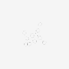 c1ccc(-c2ccc(N(c3ccc(-c4ccccc4)cc3)c3ccc4c(c3)C(c3ccccc3)(c3ccccc3)c3c(-c5ccccc5)sc(-c5ccccc5)c3-4)cc2)cc1